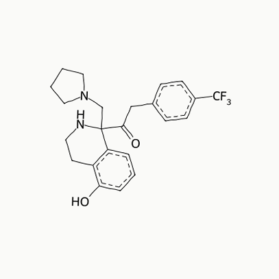 O=C(Cc1ccc(C(F)(F)F)cc1)C1(CN2CCCC2)NCCc2c(O)cccc21